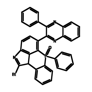 CCC1=Nc2ccc(-c3nc4ccccc4nc3-c3ccccc3)c3c2C1c1ccccc1P3(=O)c1ccccc1